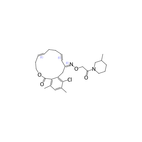 Cc1cc(C)c2c(c1Cl)CC(=N\OCC(=O)N1CCCC(C)C1)/C=C/CC/C=C/CCOC2=O